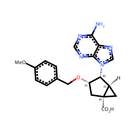 COc1ccc(CO[C@H]2C[C@]3(C(=O)O)C[C@@H]3[C@H]2n2cnc3c(N)ncnc32)cc1